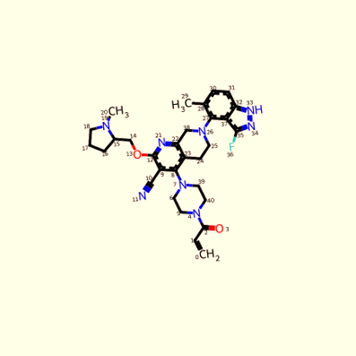 C=CC(=O)N1CCN(c2c(C#N)c(OCC3CCCN3C)nc3c2CCN(c2c(C)ccc4[nH]nc(F)c24)C3)CC1